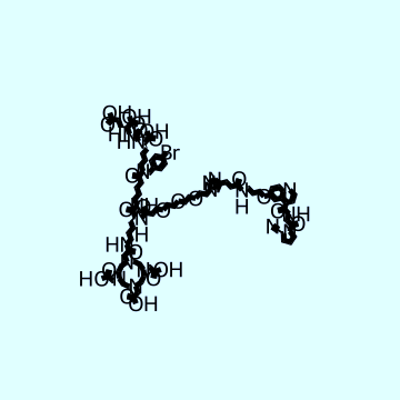 N#C[C@@H]1CCCN1C(=O)CNC(=O)c1ccnc2ccc(OCCCNC(=O)CCc3cn(CCOCCOCCOCCC(=O)N[C@@H](CCCCNC(=O)CN4CCN(CC(=O)O)CCN(CC(=O)O)CCN(CC(=O)O)CC4)C(=O)NCCCCC(=O)N(CCCC[C@H](NC(=O)N[C@@H](CCC(=O)O)C(=O)O)C(=O)O)Cc4ccc(Br)cc4)nn3)cc12